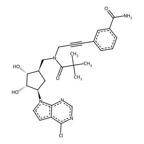 CC(C)(C)C(=O)N(CC#Cc1cccc(C(N)=O)c1)C[C@H]1C[C@@H](n2ccc3c(Cl)ncnc32)[C@H](O)[C@@H]1O